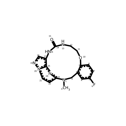 CN1Cc2cc(F)ccc2OCCNC(=O)Nc2cnn3ccc1nc23